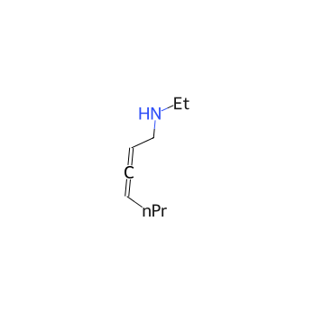 CCCC=C=CCNCC